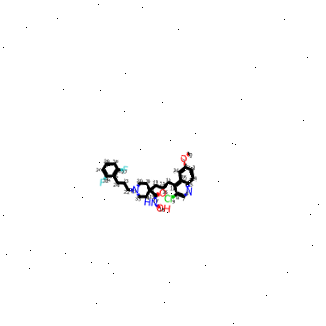 COc1ccc2ncc(Cl)c(CCCC3(C(=O)NO)CCN(CCCc4c(F)cccc4F)CC3)c2c1